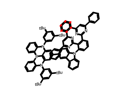 CC(C)(C)c1cc(N2c3ccccc3B3c4ccccc4N(c4cc(C(C)(C)C)cc(C(C)(C)C)c4)c4cc(-c5ccc6c(c5)c5ccccc5n6-c5cccc(-c6nc(-c7ccccc7)cc(-c7ccccc7)n6)c5-c5nc(-c6ccccc6)cc(-c6ccccc6)n5)cc2c43)cc(C(C)(C)C)c1